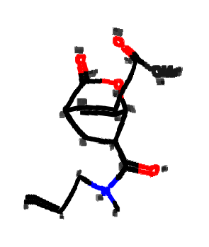 C=CCN(C)C(=O)C1CC2C=C(C(=O)OC)C1OC2=O